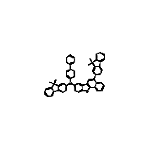 CC1(C)c2ccccc2-c2ccc(-c3cc4c5cc(N(c6ccc(-c7ccccc7)cc6)c6ccc7c(c6)C(C)(C)c6ccccc6-7)ccc5oc4c4ccccc34)cc21